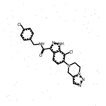 O=C(NCc1ccc(Cl)cc1)c1n[nH]c2c(Cl)c(N3CCn4nncc4C3)ccc12